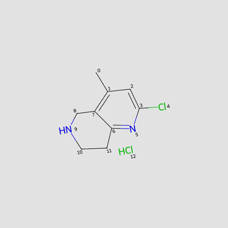 Cc1cc(Cl)nc2c1CNCC2.Cl